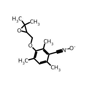 Cc1cc(C)c(OCC2OC2(C)C)c(C)c1C#[N+][O-]